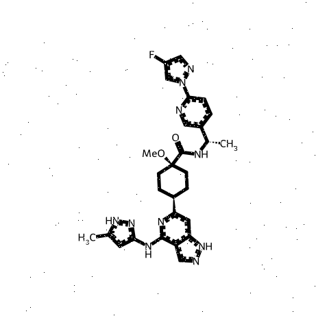 CO[C@]1(C(=O)N[C@@H](C)c2ccc(-n3cc(F)cn3)nc2)CC[C@H](c2cc3[nH]ncc3c(Nc3cc(C)[nH]n3)n2)CC1